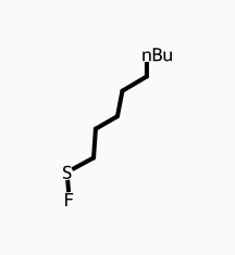 CCCCCCCCCSF